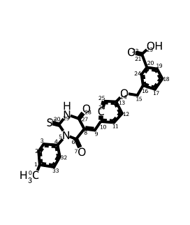 Cc1ccc(N2C(=O)/C(=C/c3ccc(OCc4cccc(C(=O)O)c4)cc3)C(=O)NC2=S)cc1